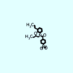 CC=Cc1cccc2c1OC(CC)CN2C(=O)c1ccc([N+](=O)[O-])cc1